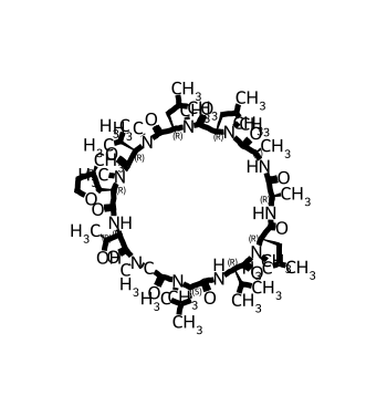 CC(C)C[C@@H]1C(=O)N(C)[C@H](CC(C)C)C(=O)N(C)[C@H](C(C)C)C(=O)N(C)[C@H](C2OCC[C@H]2C)C(=O)N[C@H]([C@@H](C)O)C(=O)N(C)CC(=O)N(C)[C@@H](CC(C)C)C(=O)N[C@H](C(C)C)C(=O)N(C)[C@H](CC(C)C)C(=O)N[C@H](C)C(=O)N[C@@H](C)C(=O)N1C